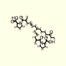 CCC(=O)CCCCC(CSSCC(C)C(=O)N1CCCC1C(=O)O)SSCC(C)C(=O)N1CCCC1C(=O)O